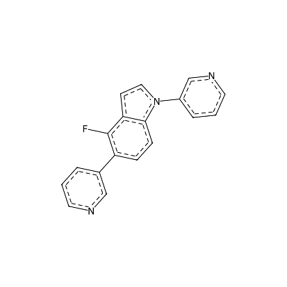 Fc1c(-c2cccnc2)ccc2c1ccn2-c1cccnc1